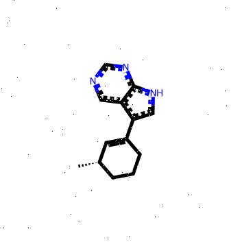 C[C@@H]1C=C(c2c[nH]c3ncncc23)CCC1